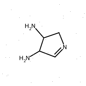 NC1C=NCC1N